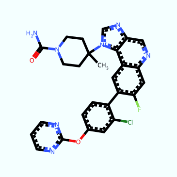 CC1(n2cnc3cnc4cc(F)c(-c5ccc(Oc6ncccn6)cc5Cl)cc4c32)CCN(C(N)=O)CC1